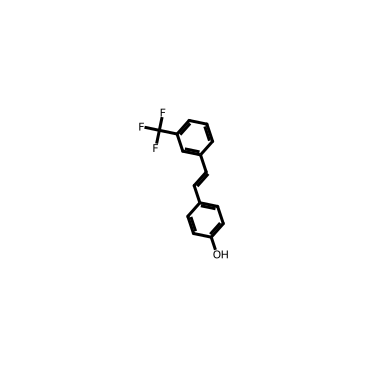 Oc1ccc(C=Cc2cccc(C(F)(F)F)c2)cc1